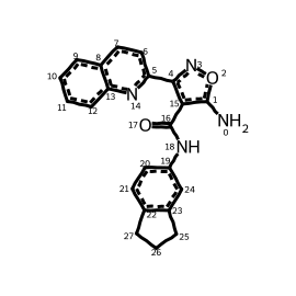 Nc1onc(-c2ccc3ccccc3n2)c1C(=O)Nc1ccc2c(c1)CCC2